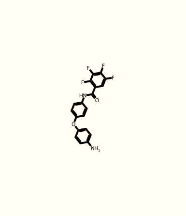 Nc1ccc(Oc2ccc(NC(=O)c3cc(F)c(F)c(F)c3F)cc2)cc1